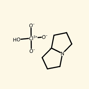 C1C[C]2CCCN2C1.[O-][Cl+3]([O-])([O-])O